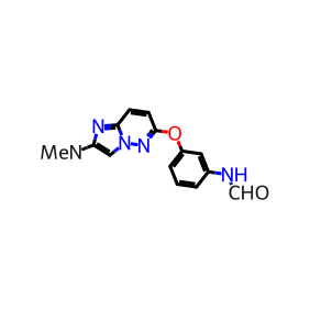 CNc1cn2nc(Oc3cccc(NC=O)c3)ccc2n1